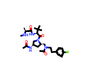 CN[C@@H](C)C(=O)N[C@H](C(=O)N1C[C@@H](NC(C)=O)C[C@H]1CN(CCc1ccc(F)cc1)C(C)=O)C(C)(C)C